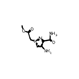 COC(=O)Cn1cc(N)c(C(N)=O)n1